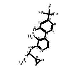 CCC(Nc1nccc(-c2ccc(C(F)(F)F)cc2Cl)c1N)C1CC1